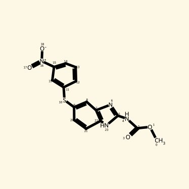 COC(=O)Nc1nc2cc(Sc3cccc([N+](=O)[O-])c3)ccc2[nH]1